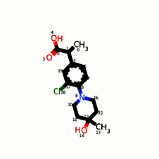 CC(C(=O)O)c1ccc(N2CCC(C)(O)CC2)c(Cl)c1